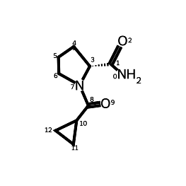 NC(=O)[C@H]1[CH]CCN1C(=O)C1CC1